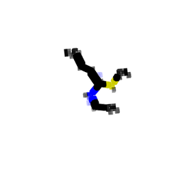 C=C/C=C(\N=C/C)SC